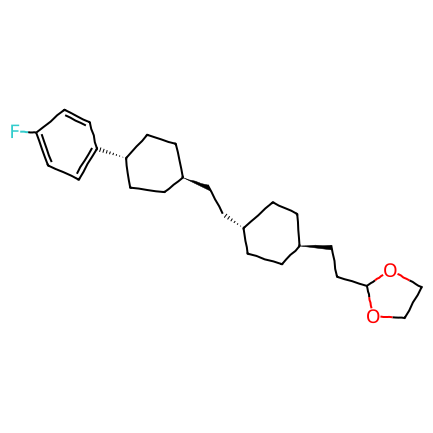 Fc1ccc([C@H]2CC[C@H](CC[C@H]3CC[C@H](CCC4OCCO4)CC3)CC2)cc1